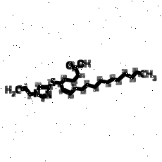 C=CCn1cnc(SC(/C=C\CCCCCCCCCCCC)CCCC(=O)O)c1